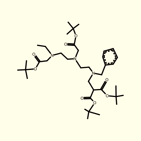 CCN(CCN(CCN(Cc1ccccc1)CC(C(=O)OC(C)(C)C)C(=O)OC(C)(C)C)CC(=O)OC(C)(C)C)CC(=O)OC(C)(C)C